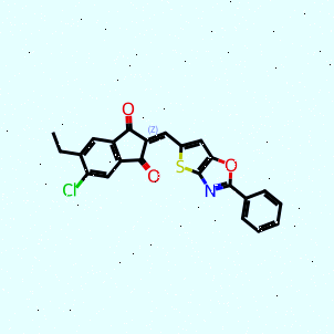 CCc1cc2c(cc1Cl)C(=O)/C(=C\c1cc3oc(-c4ccccc4)nc3s1)C2=O